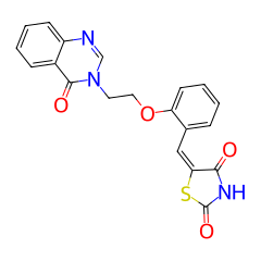 O=C1NC(=O)C(=Cc2ccccc2OCCn2cnc3ccccc3c2=O)S1